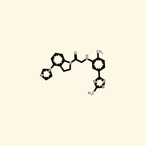 Cc1nsc(-c2ccc(C)c(NCC(=O)N3CCc4c3cccc4-n3ccnc3)c2)n1